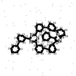 c1ccc(-c2cccc(-c3nc(-c4cccc(-c5ccccc5)c4)nc(-c4cccc(-c5cccc(-c6nc7ccccn7c6-c6ccccc6)c5)c4)n3)c2)cc1